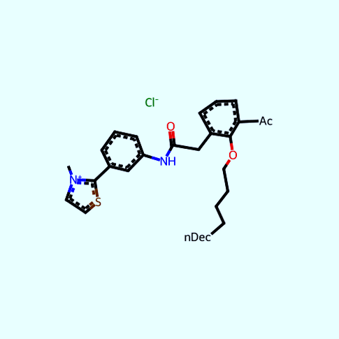 CCCCCCCCCCCCCCOc1c(CC(=O)Nc2cccc(-c3scc[n+]3C)c2)cccc1C(C)=O.[Cl-]